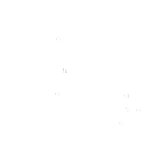 O=C1c2ccccc2C(=O)N1CCCCS(=O)(=O)Cl